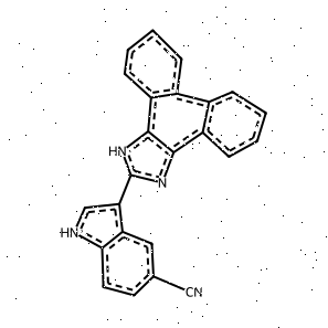 N#Cc1ccc2[nH]cc(-c3nc4c5ccccc5c5ccccc5c4[nH]3)c2c1